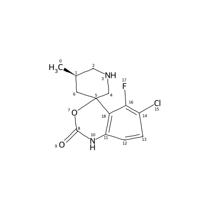 C[C@H]1CNCC2(C1)OC(=O)Nc1ccc(Cl)c(F)c12